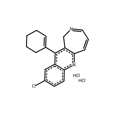 Cl.Cl.Clc1ccc2nc3c(c(C4=CCCCC4)c2c1)CN=CC=C3